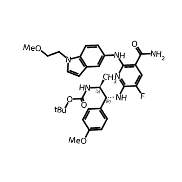 COCCn1ccc2cc(Nc3nc(N[C@H](c4ccc(OC)cc4)[C@H](C)NC(=O)OC(C)(C)C)c(F)cc3C(N)=O)ccc21